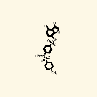 CCCN(c1ccc(S(=O)(=O)Nc2ccc(Cl)c3c(Cl)c[nH]c23)cc1)S(=O)(=O)C1CCN(C)CC1